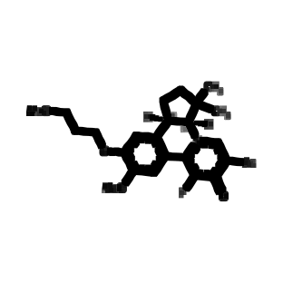 COCCCOc1cc2c(cc1OC)-c1c(F)c(=O)c(C(C)=O)cn1[C@H]1[C@@H]2CCC1(C)C